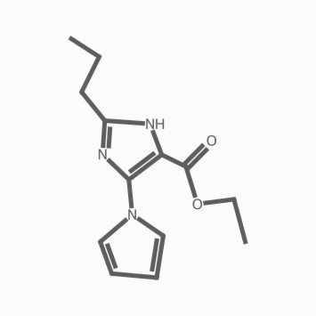 CCCc1nc(-n2cccc2)c(C(=O)OCC)[nH]1